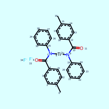 Cc1ccc(C(=O)[N]([Ti+2][N](C(=O)c2ccc(C)cc2)c2ccccc2)c2ccccc2)cc1.[F-].[F-]